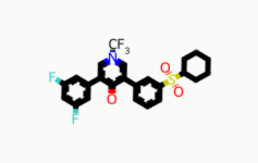 O=c1c(-c2cc(F)cc(F)c2)cn(C(F)(F)F)cc1-c1cccc(S(=O)(=O)C2CCCCC2)c1